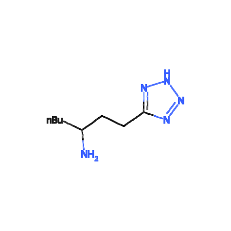 CCCCC(N)CCc1nn[nH]n1